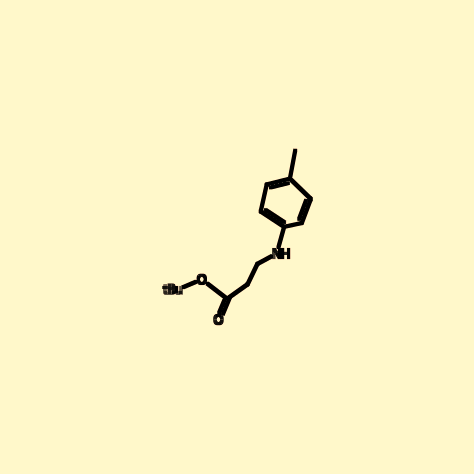 Cc1ccc(NCCC(=O)OC(C)(C)C)cc1